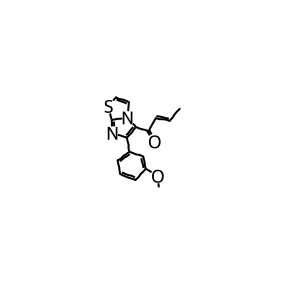 C/C=C/C(=O)c1c(-c2cccc(OC)c2)nc2sccn12